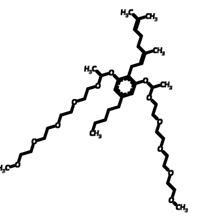 CCCCCc1cc(OC(C)OCCOCCOCCOCCOC)c(CC=C(C)CCC=C(C)C)c(OC(C)OCCOCCOCCOCCOC)c1